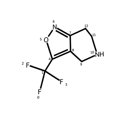 FC(F)(F)c1onc2c1CNCC2